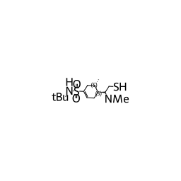 CNC(CS)[C@H]1CC=C(S(=O)(=O)NC(C)(C)C)C[C@@H]1C